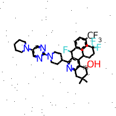 CC1(C)Cc2nc(C3CCN(c4ncc(N5CCCCC5)cn4)CC3)c(C(F)c3ccc(C(F)(F)F)cc3)c(C3CCC(F)(F)CC3)c2[C@@H](O)C1